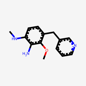 CNc1ccc(Cc2cccnc2)c(OC)c1N